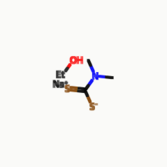 CCO.CN(C)C(=S)[S-].[Na+]